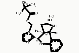 CC(C)(C)C(=O)OCn1ccnc1[C@H]1Nc2ccccc2[C@H]2NCC[C@@H]21.Cl.Cl